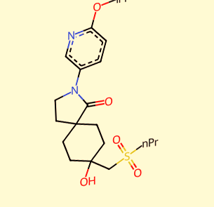 CCCS(=O)(=O)CC1(O)CCC2(CCN(c3ccc(OC(C)C)nc3)C2=O)CC1